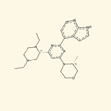 CCN1CCN(CC)[C@H](c2cc(N3CCOC[C@H]3C)nc(-c3ccnc4[nH]ccc34)n2)C1